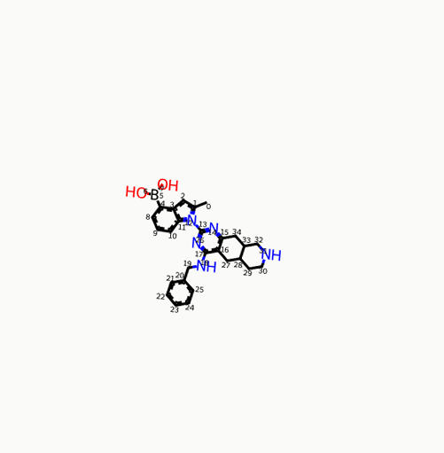 Cc1cc2c(B(O)O)cccc2n1-c1nc2c(c(NCc3ccccc3)n1)CC1CCNCC1C2